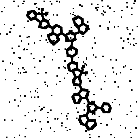 FC1(F)c2cc(-c3ccc(-c4cc(-c5cccc6ccccc56)nc(-c5ccc(-c6ccc7c(c6)C(F)(F)c6ccccc6-7)c6ccccc56)n4)cc3)ccc2-c2ccc(-c3ccc(-c4cc(-c5cccc6ccccc56)nc(-c5ccccc5)n4)c4ccccc34)cc21